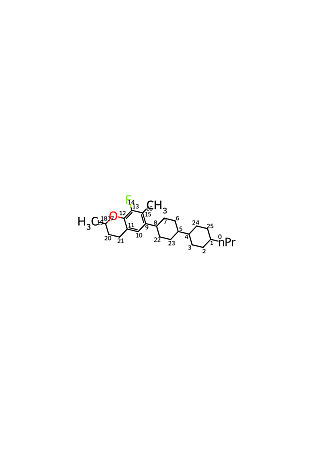 CCCC1CCC(C2CCC(c3cc4c(c(F)c3C)OC(C)CC4)CC2)CC1